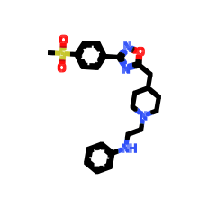 CS(=O)(=O)c1ccc(-c2noc(CC3CCN(CCNc4ccccc4)CC3)n2)cc1